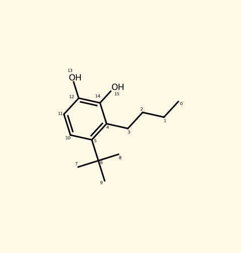 CCCCc1c(C(C)(C)C)ccc(O)c1O